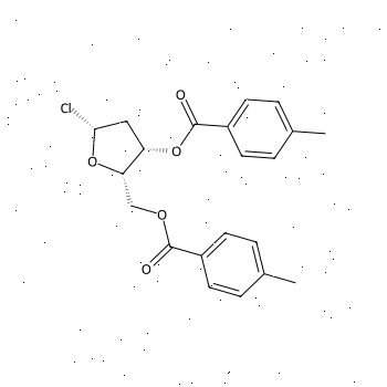 Cc1ccc(C(=O)OC[C@@H]2O[C@H](Cl)C[C@@H]2OC(=O)c2ccc(C)cc2)cc1